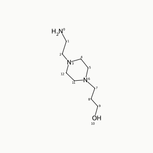 NCCN1CCN(CCCO)CC1